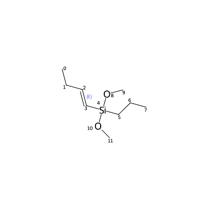 CC/C=C/[Si](CCC)(OC)OC